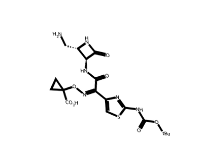 CC(C)(C)OC(=O)Nc1nc(C(=NOC2(C(=O)O)CC2)C(=O)N[C@@H]2C(=O)N[C@H]2CN)cs1